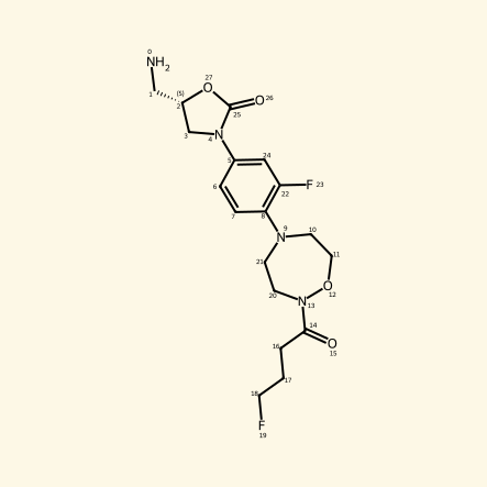 NC[C@H]1CN(c2ccc(N3CCON(C(=O)CCCF)CC3)c(F)c2)C(=O)O1